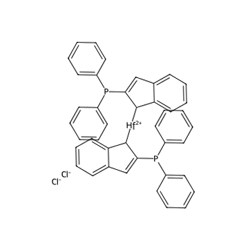 C1=C(P(c2ccccc2)c2ccccc2)[CH]([Hf+2][CH]2C(P(c3ccccc3)c3ccccc3)=Cc3ccccc32)c2ccccc21.[Cl-].[Cl-]